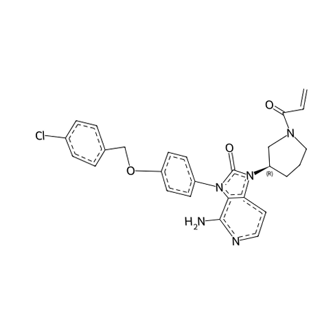 C=CC(=O)N1CCC[C@@H](n2c(=O)n(-c3ccc(OCc4ccc(Cl)cc4)cc3)c3c(N)nccc32)C1